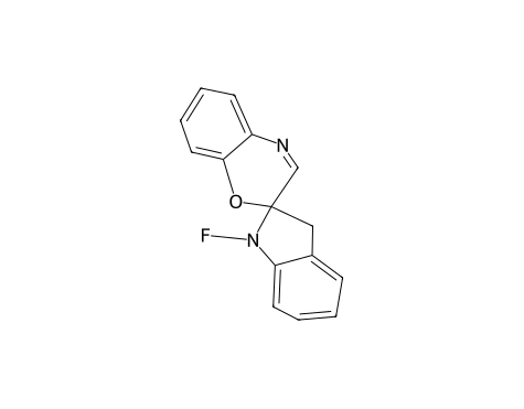 FN1c2ccccc2CC12C=Nc1ccccc1O2